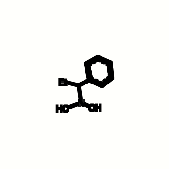 CCC(c1ccccc1)N(O)O